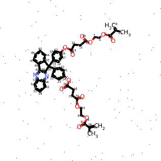 C=C(C)C(=O)OCCOC(=O)CCC(=O)Oc1ccc(C2(c3ccc(OC(=O)CCC(=O)OCCOC(=O)C(=C)C)cc3)c3ccccc3-c3nc4ccccc4nc32)cc1